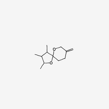 C=C1CCC2(OC1)OC(C)C(C)C2C